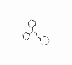 c1ccc(C(CN=C2CCCCCN2)c2ccccc2)cc1